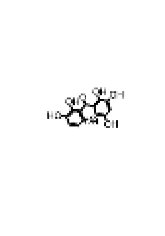 O=C(c1c(O)ccc(O)c1O)c1c(O)c(O)cc(O)c1O